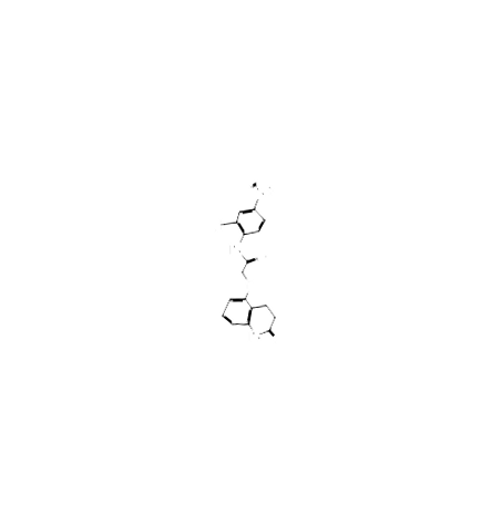 O=C(COc1cccc2c1CCC(=O)N2)Nc1ccc([N+](=O)[O-])cc1Cl